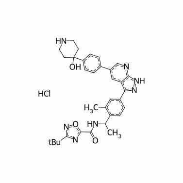 Cc1cc(-c2n[nH]c3ncc(-c4ccc(C5(O)CCNCC5)cc4)cc23)ccc1C(C)NC(=O)c1nc(C(C)(C)C)no1.Cl